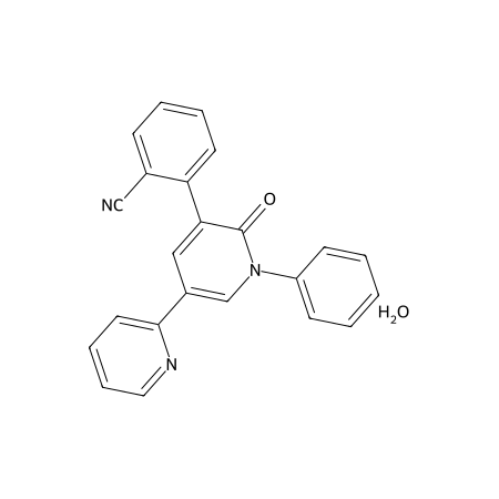 N#Cc1ccccc1-c1cc(-c2ccccn2)cn(-c2ccccc2)c1=O.O